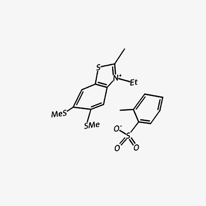 CC[n+]1c(C)sc2cc(SC)c(SC)cc21.Cc1ccccc1S(=O)(=O)[O-]